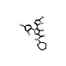 O=C(NC1CCCCCC1)c1nn(-c2ccc(Cl)cc2Cl)c(-c2ccc(Br)[se]2)c1Br